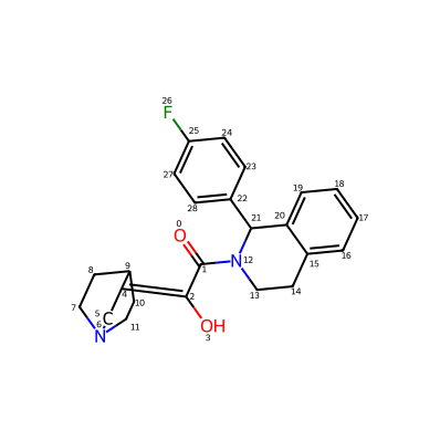 O=C(C(O)=C1CN2CCC1CC2)N1CCc2ccccc2C1c1ccc(F)cc1